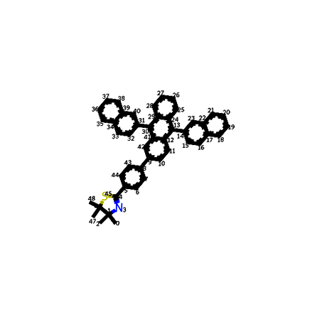 CC1(C)N=C(c2ccc(-c3ccc4c(-c5ccc6ccccc6c5)c5ccccc5c(-c5ccc6ccccc6c5)c4c3)cc2)SC1(C)C